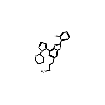 CCCCc1cc(-c2ccnn2C2CCCCO2)c2nc(-c3ccccc3O)sc2c1